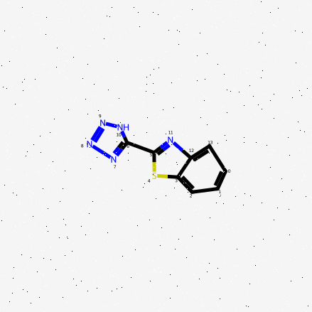 c1ccc2sc(-c3nnn[nH]3)nc2c1